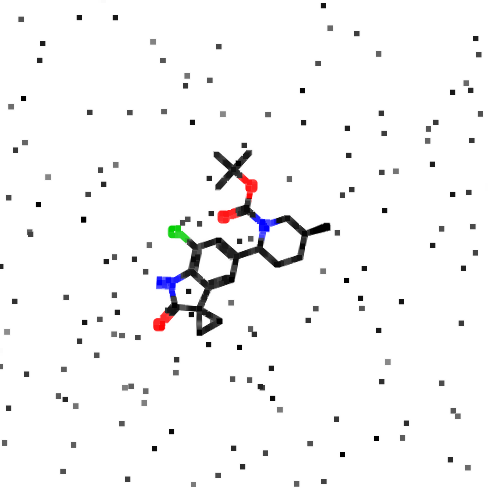 C[C@H]1CCC(c2cc(Cl)c3c(c2)C2(CC2)C(=O)N3)N(C(=O)OC(C)(C)C)C1